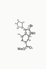 COC(=O)c1cc(C)c2c(C3CCCC3)c(Br)[nH]c2c1